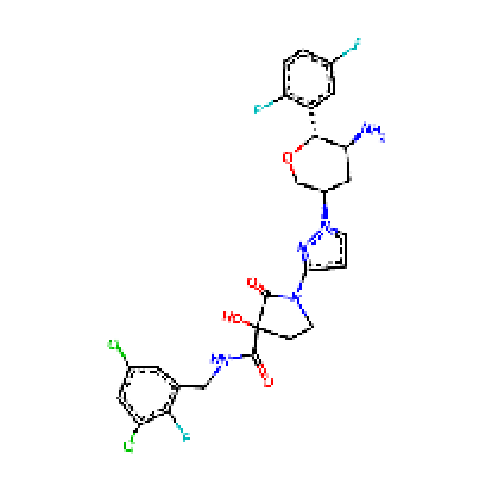 N[C@H]1C[C@@H](n2ccc(N3CCC(O)(C(=O)NCc4cc(Cl)cc(Cl)c4F)C3=O)n2)CO[C@@H]1c1cc(F)ccc1F